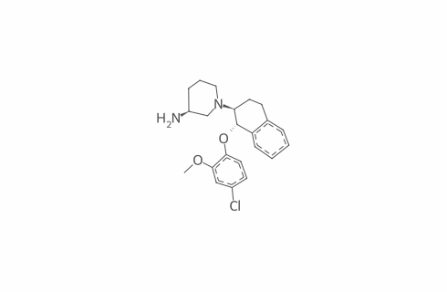 COc1cc(Cl)ccc1O[C@H]1c2ccccc2CC[C@@H]1N1CCC[C@H](N)C1